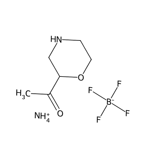 CC(=O)C1CNCCO1.F[B-](F)(F)F.[NH4+]